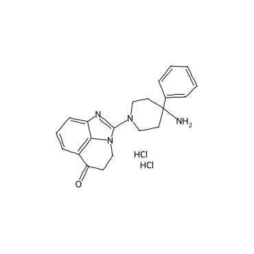 Cl.Cl.NC1(c2ccccc2)CCN(c2nc3cccc4c3n2CCC4=O)CC1